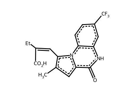 CCC(=Cc1c(C)cc2c(=O)[nH]c3cc(C(F)(F)F)ccc3n12)C(=O)O